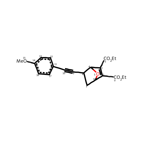 CCOC(=O)C1=C(C(=O)OCC)C2OC1CC2C#Cc1ccc(OC)cc1